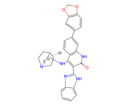 O=c1[nH]c2cc(-c3ccc4c(c3)OCO4)ccc2c(N[C@H]2CN3CCC2CC3)c1-c1nc2ccccc2[nH]1